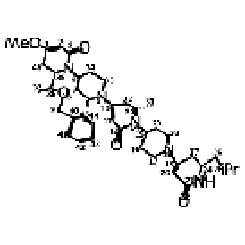 COC1=CC(=O)N(C2CCN(C3=CC(=O)N(C4CCN(C5=CC(=O)N[C@H](CC(C)C)C5)CC4)[C@@H](C)C3)CC2)[C@@H](C(C)OCc2ccccc2)C1